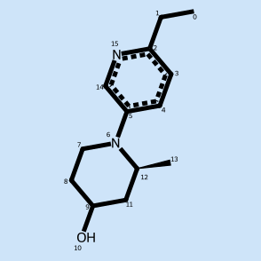 CCc1ccc(N2CCC(O)C[C@@H]2C)cn1